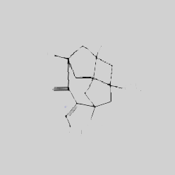 CC12CC3(C)CC4(C)CC(C)(CC34C1)/C(=C\O)C2=O